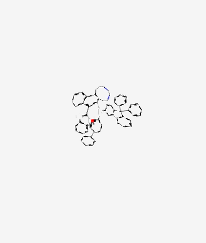 C1=C\CCc2c(c(N(c3ccc(-c4ccccc4)cc3)c3ccc4c(c3)-c3ccccc3C4(c3ccccc3)c3ccccc3)c(-c3nc4ccccc4o3)c3ccccc23)C\C=C/1